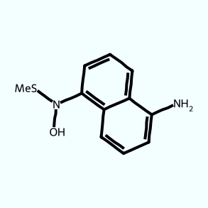 CSN(O)c1cccc2c(N)cccc12